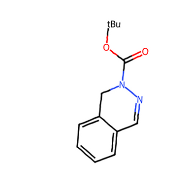 CC(C)(C)OC(=O)N1Cc2ccccc2C=N1